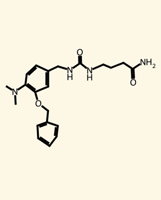 CN(C)c1ccc(CNC(=O)NCCCC(N)=O)cc1OCc1ccccc1